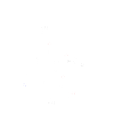 CCOc1cc2cncc(C(C)C(=O)O)c2cc1OC.[Li]